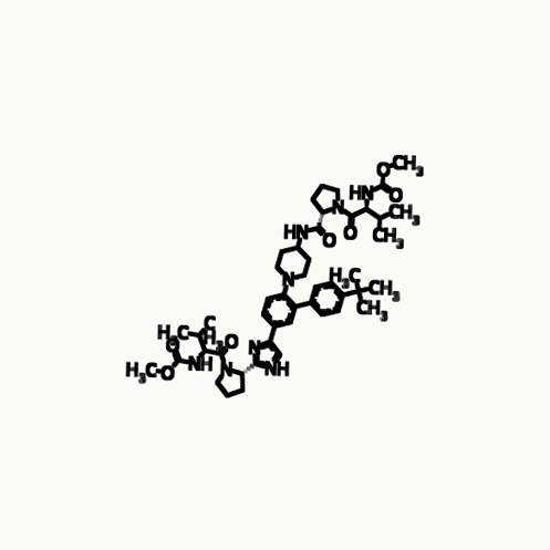 COC(=O)N[C@H](C(=O)N1CCC[C@H]1C(=O)NC1CCN(c2ccc(-c3c[nH]c([C@@H]4CCCN4C(=O)[C@@H](NC(=O)OC)C(C)C)n3)cc2-c2ccc(C(C)(C)C)cc2)CC1)C(C)C